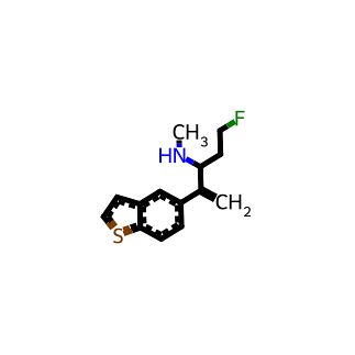 C=C(c1ccc2sccc2c1)C(CCF)NC